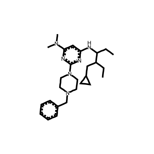 CCC(CC1CC1)C(CC)Nc1cc(N(C)C)nc(N2CCN(Cc3ccccc3)CC2)n1